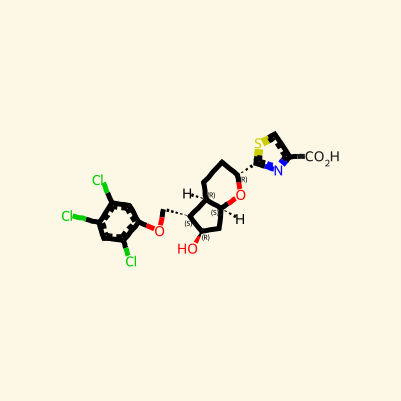 O=C(O)c1csc([C@H]2CC[C@@H]3[C@@H](COc4cc(Cl)c(Cl)cc4Cl)[C@H](O)C[C@@H]3O2)n1